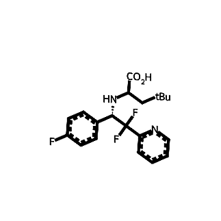 CC(C)(C)CC(N[C@@H](c1ccc(F)cc1)C(F)(F)c1ccccn1)C(=O)O